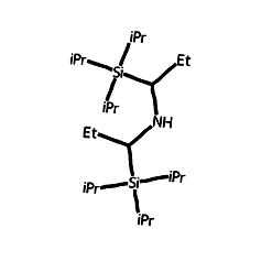 CCC(NC(CC)[Si](C(C)C)(C(C)C)C(C)C)[Si](C(C)C)(C(C)C)C(C)C